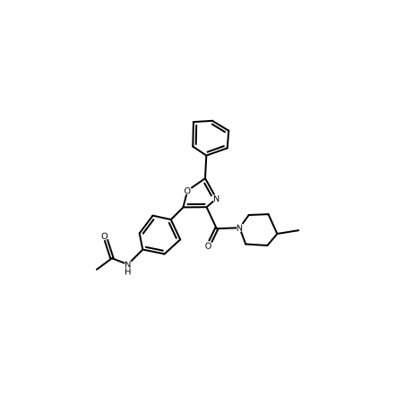 CC(=O)Nc1ccc(-c2oc(-c3ccccc3)nc2C(=O)N2CCC(C)CC2)cc1